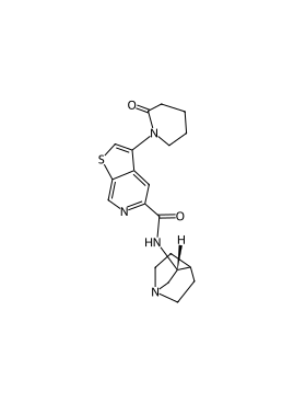 O=C(N[C@H]1CN2CCC1CC2)c1cc2c(N3CCCCC3=O)csc2cn1